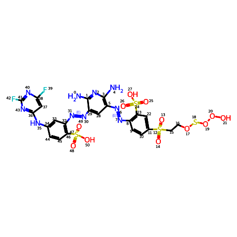 Nc1nc(N)c(/N=N/c2ccc(S(=O)(=O)CCOSOOO)cc2S(=O)(=O)O)cc1/N=N/c1cc(Nc2cc(F)nc(F)n2)ccc1S(=O)(=O)O